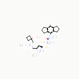 CC(C)n1nc(S(=O)(=O)NC(=O)Nc2c3c(c(Cl)c4c2CCC4)CCC3)cc1CN(C)CC1(O)CCC1